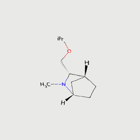 CC(C)OC[C@@H]1[C@@H]2CC[C@@H](C2)N1C